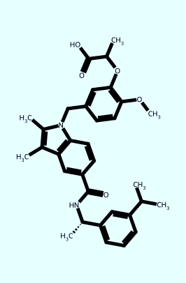 COc1ccc(Cn2c(C)c(C)c3cc(C(=O)N[C@@H](C)c4cccc(C(C)C)c4)ccc32)cc1OC(C)C(=O)O